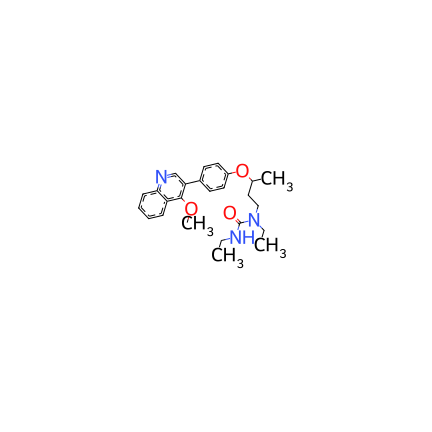 CCNC(=O)N(CC)CCC(C)Oc1ccc(-c2cnc3ccccc3c2OC)cc1